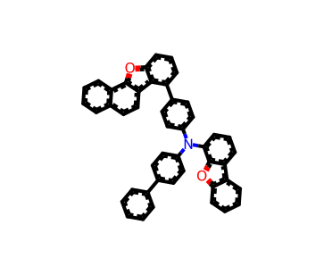 c1ccc(-c2ccc(N(c3ccc(-c4cccc5oc6c7ccccc7ccc6c45)cc3)c3cccc4c3oc3ccccc34)cc2)cc1